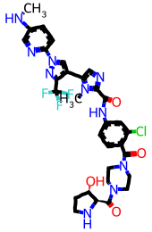 CNc1ccc(-n2cc(-c3cnc(C(=O)Nc4ccc(C(=O)N5CCN(C(=O)[C@H]6NCC[C@@H]6O)CC5)c(Cl)c4)n3C)c(C(F)(F)F)n2)nc1